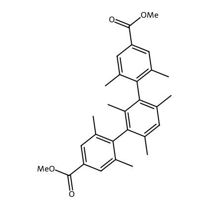 COC(=O)c1cc(C)c(-c2c(C)cc(C)c(-c3c(C)cc(C(=O)OC)cc3C)c2C)c(C)c1